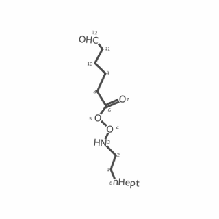 CCCCCCCCCNOOC(=O)CCCCC=O